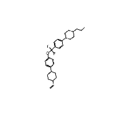 C=CC1CCC(c2ccc(OC(F)(F)c3ccc(C4CCC(CCC)CC4)cc3)cc2)CC1